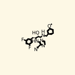 COc1cccc(CNC[C@@H](O)[C@H](Cc2cc(F)cc(F)c2)Nc2nccnc2C#N)c1